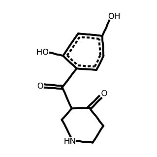 O=C1CCNCC1C(=O)c1ccc(O)cc1O